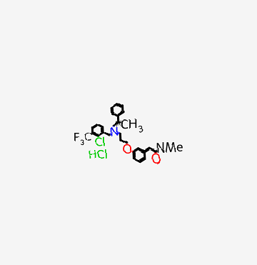 CNC(=O)Cc1cccc(OCCCN(Cc2cccc(C(F)(F)F)c2Cl)C[C@H](C)c2ccccc2)c1.Cl